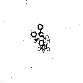 CN1C(=O)N(C)C2(CCC(N(c3cc(C4=CCCCC4)sc3C(=O)O)C(=O)[C@H]3CC[C@H](C)CC3)CC2)C1=O